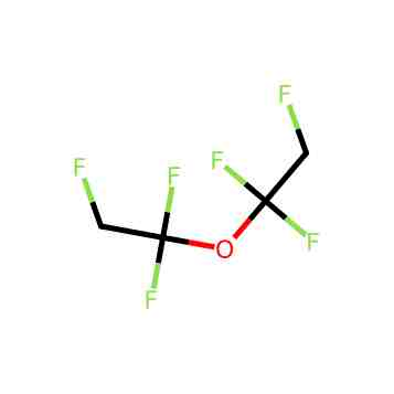 FCC(F)(F)OC(F)(F)CF